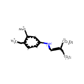 CCOC(=O)C(=CNc1ccc(C)c(OC)c1)C(=O)OCC